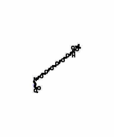 COC(=O)/C=C/CN(C)CCOCCOCCOCCOCCOCCOCCNC(=O)OC(C)(C)C